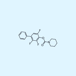 O=C(Oc1c(F)cc(-c2ccccc2)c(F)c1F)N1CCCCC1